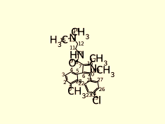 Cc1cccc(-c2c(C(=O)NCCN(C)C)c(C)n(C)c2-c2ccc(Cl)cc2)c1